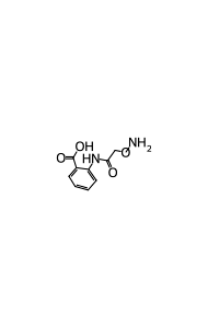 NOCC(=O)Nc1ccccc1C(=O)O